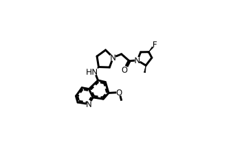 COc1cc(N[C@@H]2CCN(CC(=O)N3C[C@@H](F)C[C@H]3C)C2)c2cccnc2c1